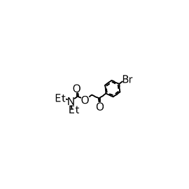 CCN(CC)C(=O)OCC(=O)c1ccc(Br)cc1